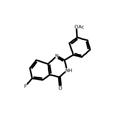 CC(=O)Oc1cccc(-c2nc3ccc(F)cc3c(=O)[nH]2)c1